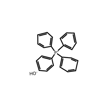 [OH-].c1ccc([P+](c2ccccc2)(c2ccccc2)c2ccccc2)cc1